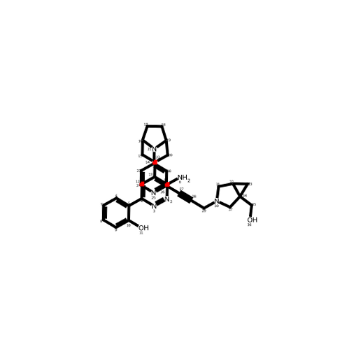 Nc1nnc(-c2ccccc2O)cc1N1CC2CCC(C1)N2c1ccnc(C#CCN2CC3CC3(CO)C2)c1